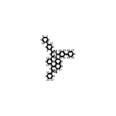 c1ccc(-c2ccc(-c3cc(-c4cccc(-c5cc(-c6ccccc6)nc6ccc7ccccc7c56)c4)nc(-c4ccc(-c5ccccc5)cc4)n3)cc2)cc1